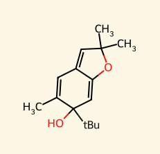 CC1=CC2=CC(C)(C)OC2=CC1(O)C(C)(C)C